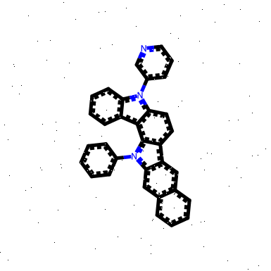 c1ccc(-n2c3cc4ccccc4cc3c3ccc4c(c5ccccc5n4-c4cccnc4)c32)cc1